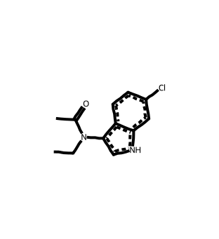 CCN(C(C)=O)c1c[nH]c2cc(Cl)ccc12